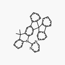 CC1(C)c2ccccc2N(c2ncccn2)c2cc3c(cc21)-c1ccccc1C31c2ccccc2-c2ccccc21